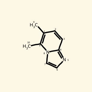 Cc1ccc2nccn2c1C